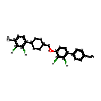 CCCc1ccc(-c2ccc(OCC3CCC(c4ccc(CC)c(F)c4F)CC3)c(F)c2F)cc1